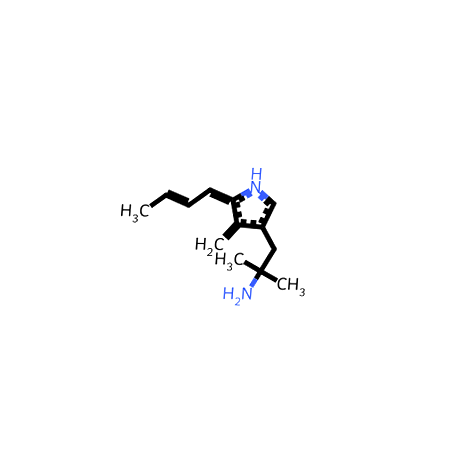 C=c1c(CC(C)(C)N)c[nH]/c1=C/C=CC